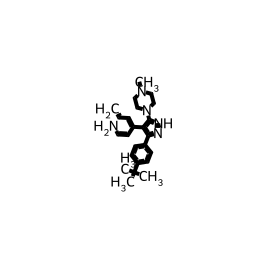 C=C/C=C(\C=C/N)c1c(-c2ccc(C(C)(C)C)cc2)n[nH]c1N1CCN(C)CC1